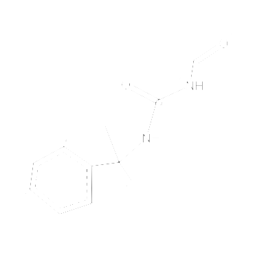 CC(C)(NC(=O)NC=O)c1ccccc1